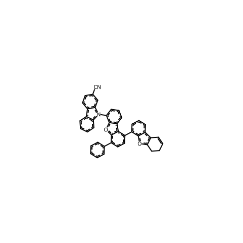 N#Cc1ccc2c3ccccc3n(-c3cccc4c3oc3c(-c5ccccc5)ccc(-c5cccc6c7c(oc56)CCC=C7)c34)c2c1